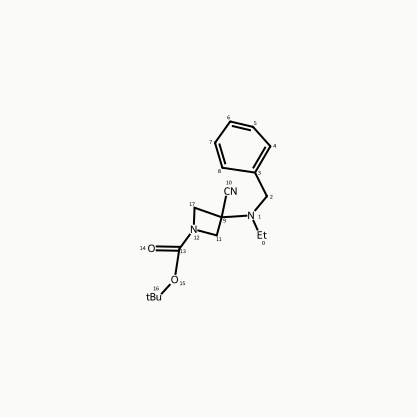 CCN(Cc1ccccc1)C1(C#N)CN(C(=O)OC(C)(C)C)C1